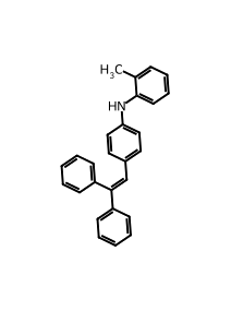 Cc1ccccc1Nc1ccc(C=C(c2ccccc2)c2ccccc2)cc1